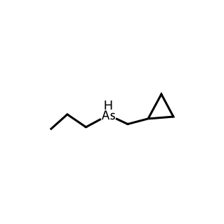 CCC[AsH]CC1CC1